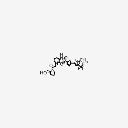 Cn1nc(-c2ccc(S(=O)(=O)N[C@H]3CCCN(CC(=O)N4CCC[C@@H]4CO)C3=O)s2)cc1C(F)(F)F